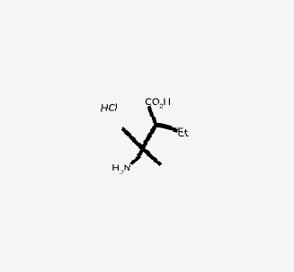 CCC(C(=O)O)C(C)(C)N.Cl